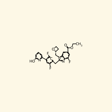 CCOC(=O)c1cc(F)c2nc(Cc3cc(F)c(-c4cccc(O)n4)cc3F)n(C[C@@H]3CCO3)c2c1